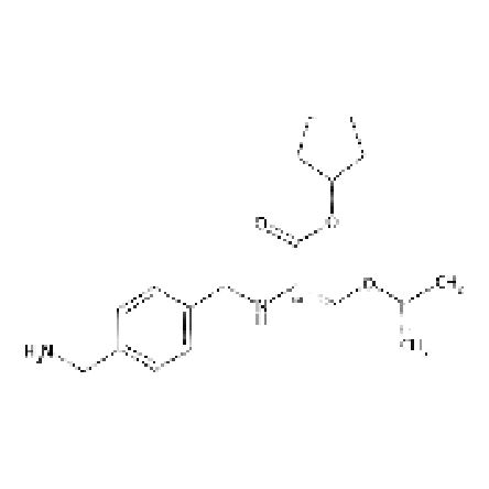 C=C(C)OC[C@H](NCc1ccc(CN)cc1)C(=O)OC1CCCC1